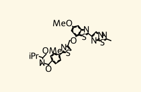 COCC(C(C)C)N(C)C(=O)c1ccc(-c2nc(COc3cc(OC)cc4nc(-c5cn6nc(C)sc6n5)sc34)cs2)cc1